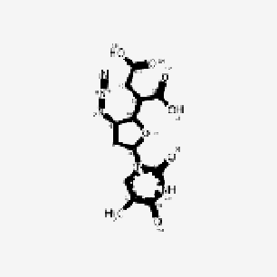 Cc1cn(C2CC(N=[N+]=[N-])C(C(CC(=O)O)C(=O)O)O2)c(=O)[nH]c1=O